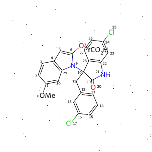 COc1ccc2cc(OC(=O)O)n(C3(Cc4cccc(Cl)c4)C(=O)Nc4cc(Cl)ccc43)c2c1